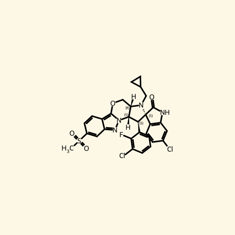 CS(=O)(=O)c1ccc2c3n(nc2c1)[C@@H]1[C@H](CO3)N(CC2CC2)[C@@]2(C(=O)Nc3cc(Cl)ccc32)[C@H]1c1cccc(Cl)c1F